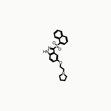 O=S(=O)(c1cccc2ccccc12)c1n[nH]c2ccc(OCCN3CCCC3)cc12